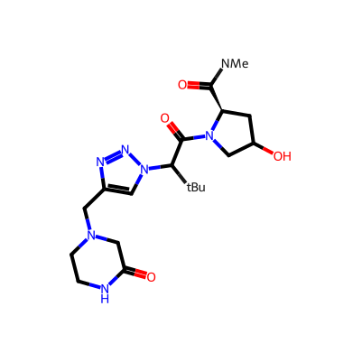 CNC(=O)[C@H]1CC(O)CN1C(=O)C(n1cc(CN2CCNC(=O)C2)nn1)C(C)(C)C